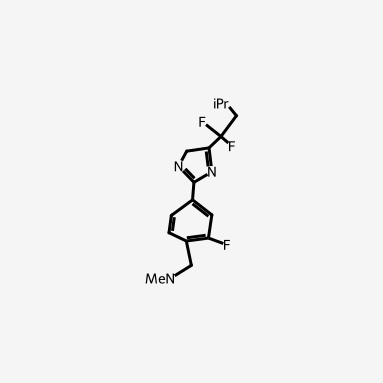 CNCc1ccc(C2=NCC(C(F)(F)CC(C)C)=N2)cc1F